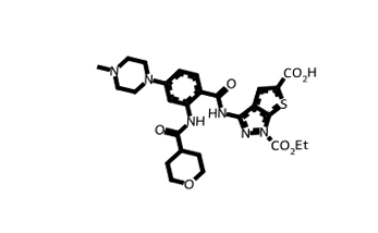 CCOC(=O)n1nc(NC(=O)c2ccc(N3CCN(C)CC3)cc2NC(=O)C2CCOCC2)c2cc(C(=O)O)sc21